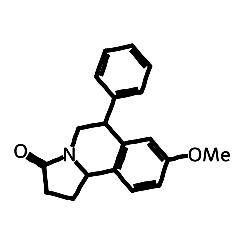 COc1ccc2c(c1)C(c1ccccc1)CN1C(=O)CCC21